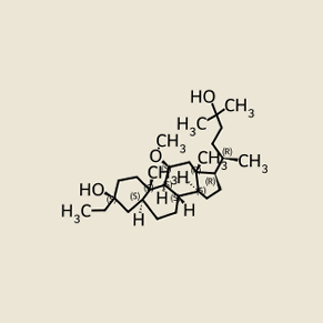 CC[C@]1(O)CC[C@@]2(C)[C@@H](CC[C@@H]3[C@@H]2[C@@H](OC)C[C@]2(C)[C@@H]([C@H](C)CCC(C)(C)O)CC[C@@H]32)C1